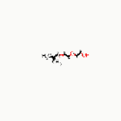 C=C(C)COCCOCCO